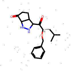 CC(C)C[C@H](OCc1ccccc1)C(=O)C1NNC2C(=O)CCC21